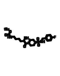 CC(C)(C)OC(=O)NCCCCC(N)C(=O)N1CCN(S(=O)(=O)NCc2ccc(F)cc2)CC1